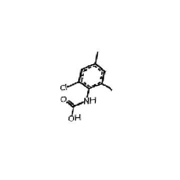 Cc1cc(C)c(NC(=O)O)c(Cl)c1